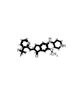 COc1cc2c(cc1NC1CCNCC1)CC(Cc1ncccc1C(F)(F)F)C2=O